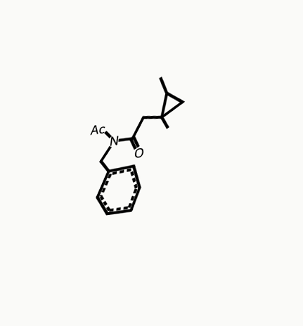 CC(=O)N(Cc1ccccc1)C(=O)CC1(C)CC1C